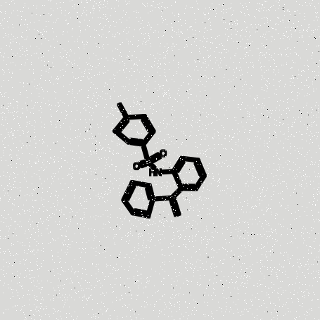 C=C(c1ccccc1)c1ccccc1NS(=O)(=O)c1ccc(C)cc1